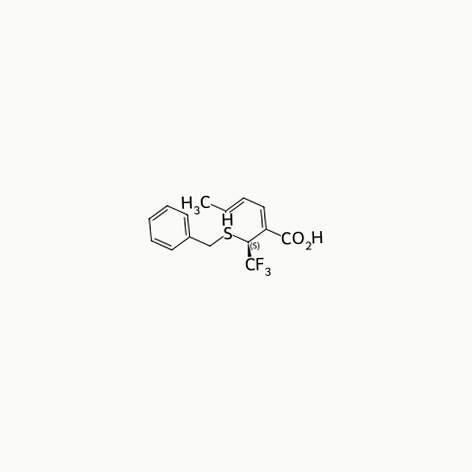 CC1=CC=C(C(=O)O)[C@@H](C(F)(F)F)[SH]1Cc1ccccc1